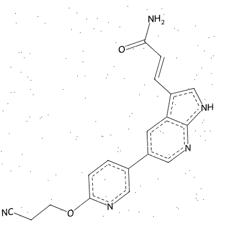 N#CCCOc1ccc(-c2cnc3[nH]cc(C=CC(N)=O)c3c2)cn1